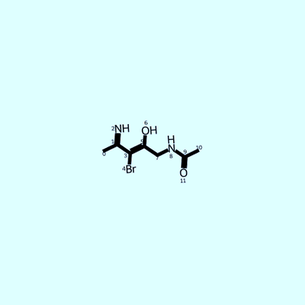 CC(=N)/C(Br)=C(\O)CNC(C)=O